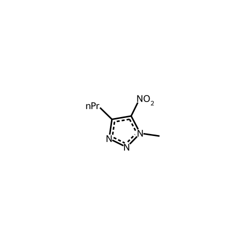 CCCc1nnn(C)c1[N+](=O)[O-]